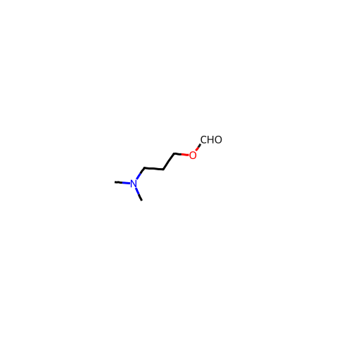 CN(C)CCCOC=O